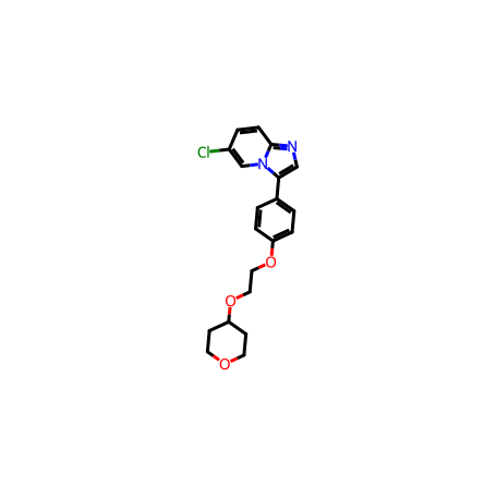 Clc1ccc2ncc(-c3ccc(OCCOC4CCOCC4)cc3)n2c1